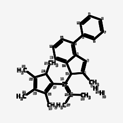 CC1=Cc2c(-c3ccccc3)cccc2[CH]1[Zr]([C]1=C(C)C(C)=C(C)C1C)=[Si](C)C.I.I